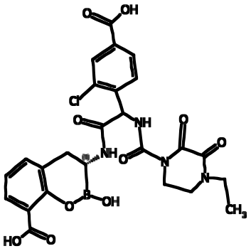 CCN1CCN(C(=O)NC(C(=O)N[C@H]2Cc3cccc(C(=O)O)c3OB2O)c2ccc(C(=O)O)cc2Cl)C(=O)C1=O